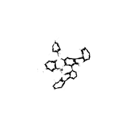 Cc1ccc(N2c3ccc(C)cc3B3c4c2cc2c(oc5ccccc52)c4-c2cccc4c5ccccc5n3c24)cc1